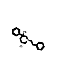 Br.OC1(c2ccccc2)CCCN(CCc2ccccc2)C1